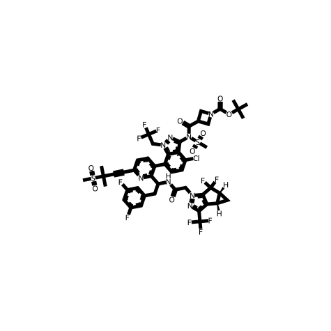 CC(C)(C)OC(=O)N1CC(C(=O)N(c2nn(CC(F)(F)F)c3c(-c4ccc(C#CC(C)(C)S(C)(=O)=O)nc4C(Cc4cc(F)cc(F)c4)NC(=O)Cn4nc(C(F)(F)F)c5c4C(F)(F)[C@@H]4C[C@H]54)ccc(Cl)c23)S(C)(=O)=O)C1